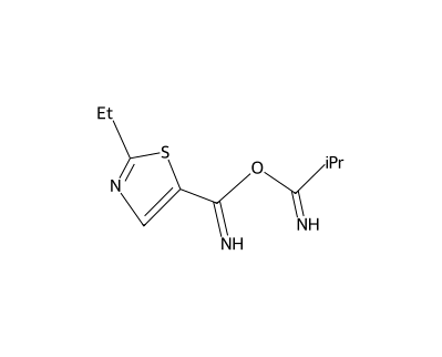 CCc1ncc(C(=N)OC(=N)C(C)C)s1